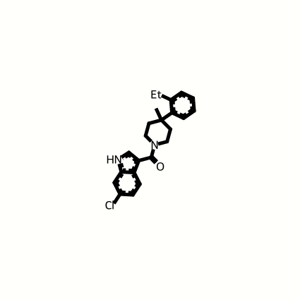 CCc1ccccc1C1(C)CCN(C(=O)c2c[nH]c3cc(Cl)ccc23)CC1